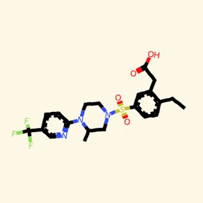 CCc1ccc(S(=O)(=O)N2CCN(c3ccc(C(F)(F)F)cn3)C(C)C2)cc1CC(=O)O